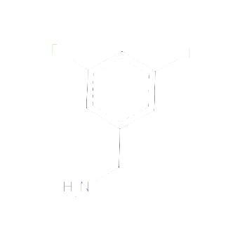 NCc1cc(F)cc(I)c1